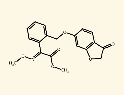 CO/N=C(/C(=O)OC)c1ccccc1COc1ccc2c(c1)OCC2=O